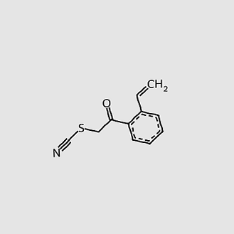 C=Cc1ccccc1C(=O)CSC#N